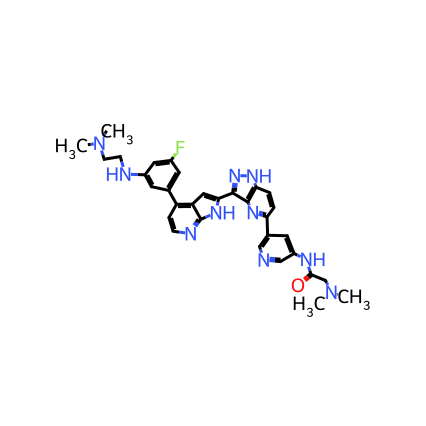 CN(C)CCNc1cc(F)cc(-c2ccnc3[nH]c(-c4n[nH]c5ccc(-c6cncc(NC(=O)CN(C)C)c6)nc45)cc23)c1